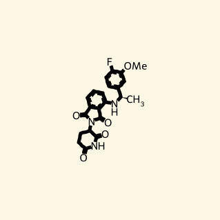 COc1cc([C@H](C)Nc2cccc3c2C(=O)N(C2CCC(=O)NC2=O)C3=O)ccc1F